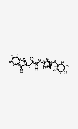 O=C(Cn1sc2ccccc2c1=O)NCc1cn(Cc2ccccc2)nn1